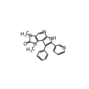 Cn1c(=O)n(C)c2c3c(-c4ccccc4)c(-c4cccnc4)[nH]c3ncc21